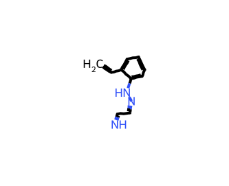 C=Cc1ccccc1N/N=C\C=N